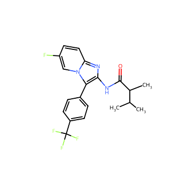 CC(C)C(C)C(=O)Nc1nc2ccc(F)cn2c1-c1ccc(C(F)(F)F)cc1